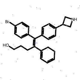 OCCC/C(C1=CC=CCC1)=C(\c1ccc(Br)cc1)c1ccc(C2CNC2)cc1